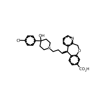 O=C(O)c1ccc2c(c1)OCc1ncccc1C2=CCCN1CCC(O)(c2ccc(Cl)cc2)CC1